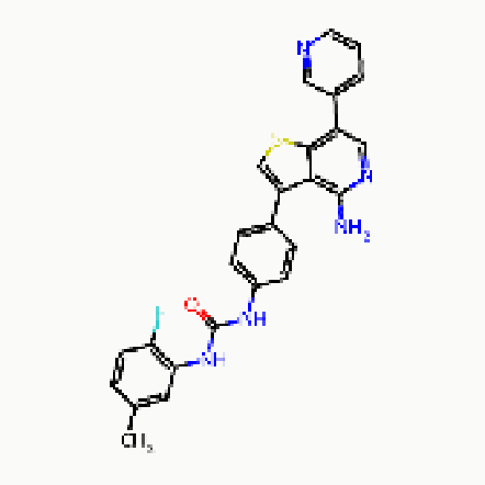 Cc1ccc(F)c(NC(=O)Nc2ccc(-c3csc4c(-c5cccnc5)cnc(N)c34)cc2)c1